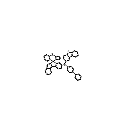 c1ccc(-c2ccc(N(c3ccc4c(c3)C3(c5ccccc5Sc5ccccc53)c3ccc5ccccc5c3-4)c3ccc4sc5ccccc5c4c3)cc2)cc1